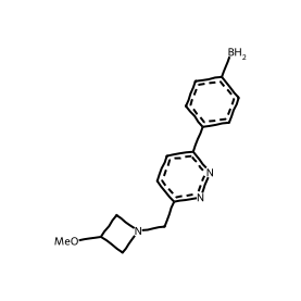 Bc1ccc(-c2ccc(CN3CC(OC)C3)nn2)cc1